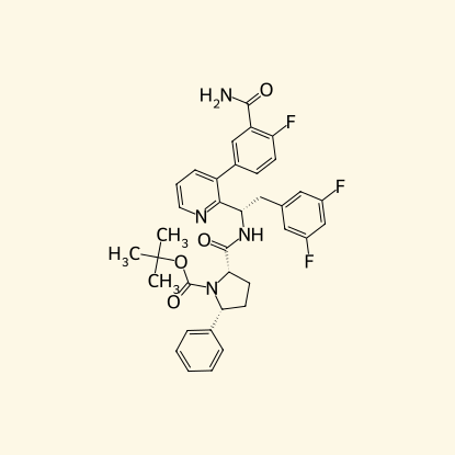 CC(C)(C)OC(=O)N1[C@@H](c2ccccc2)CC[C@H]1C(=O)N[C@@H](Cc1cc(F)cc(F)c1)c1ncccc1-c1ccc(F)c(C(N)=O)c1